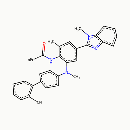 CCCC(=O)Nc1c(C)cc(-c2nc3ccccc3n2C)cc1N(C)c1ccc(-c2ccccc2C#N)cc1